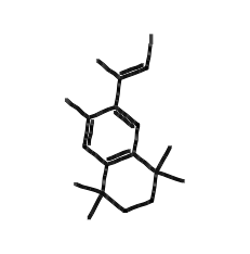 C/C(=C\I)c1cc2c(cc1C)C(C)(C)CCC2(C)C